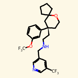 FC(F)(F)Oc1cccc([C@@]2(CCNCc3cncc(C(F)(F)F)c3)CCOC3(CCCC3)C2)c1